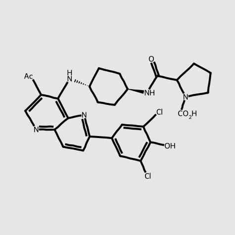 CC(=O)c1cnc2ccc(-c3cc(Cl)c(O)c(Cl)c3)nc2c1N[C@H]1CC[C@H](NC(=O)C2CCCN2C(=O)O)CC1